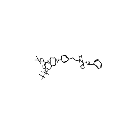 CC(C)(C)OC(=O)N1CCN(c2ccc(CCNC(=O)OCc3ccccc3)cc2)CC1CO[Si](C)(C)C(C)(C)C